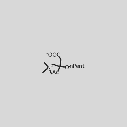 CCCCCOC(CC(=O)[O-])(C[N+](C)(C)C)C(C)=O